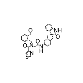 O=Cc1ccccc1CN(CC(=O)Nc1ccc2c(c1)CC1(C2)C(=O)Nc2ccccc21)C(=O)c1cscn1